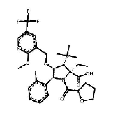 CC[C@@]1(C(=O)O)[C@@H](C(C)(C)C)[C@H](OCc2cc(C(F)(F)F)cnc2OC)[C@H](c2ccccc2C)N1C(=O)C1CCCO1